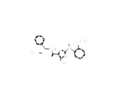 COc1ccccc1N(C)c1nc(C)c(C(=O)N[C@H](CO)c2ccccc2)s1